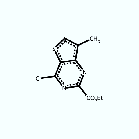 CCOC(=O)c1nc(Cl)c2scc(C)c2n1